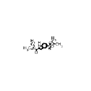 CCN(CC)C(=O)c1cc2cc(S(=O)(=O)OC(C)C)ccc2[nH]1